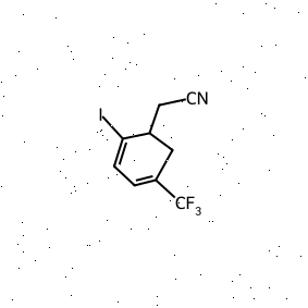 N#CCC1CC(C(F)(F)F)=CC=C1I